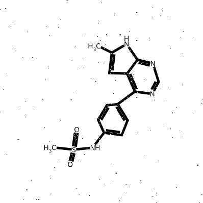 Cc1cc2c(-c3ccc(NS(C)(=O)=O)cc3)ncnc2[nH]1